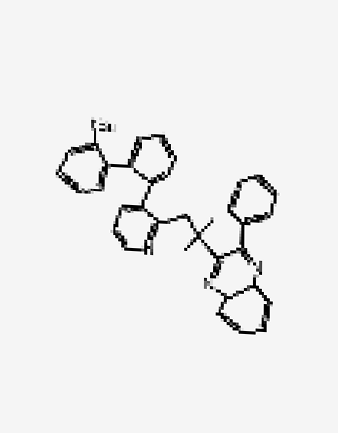 CC(C)(Cc1ncccc1-c1ccccc1-c1ccccc1C(C)(C)C)C1=NC2C=CC=CC2N=C1c1ccccc1